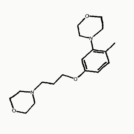 Cc1ccc(OCCCN2CCOCC2)cc1N1CCOCC1